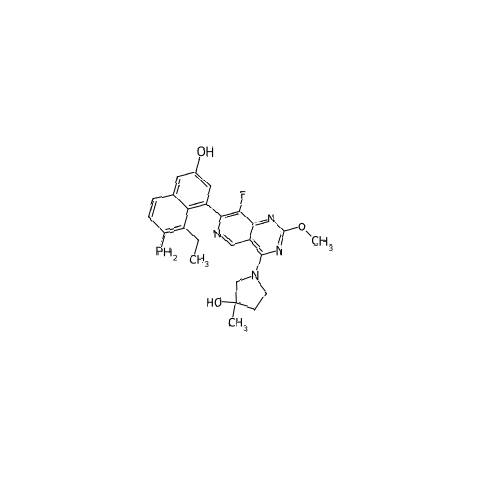 CCc1c(P)ccc2cc(O)cc(-c3ncc4c(N5CCC(C)(O)C5)nc(OC)nc4c3F)c12